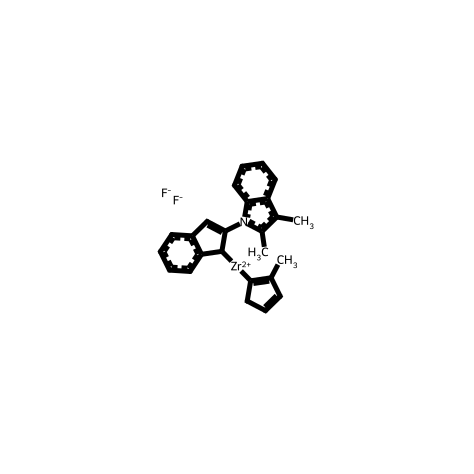 CC1=[C]([Zr+2][CH]2C(n3c(C)c(C)c4ccccc43)=Cc3ccccc32)CC=C1.[F-].[F-]